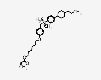 C=CC(=O)OCCCCCCOc1ccc(C[Si](C)(C)c2ccc(C3CCC(CCC)CC3)cc2)cc1